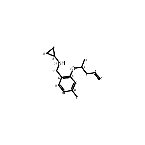 C=CCC(C)Oc1cc(C)ccc1CNC1CC1